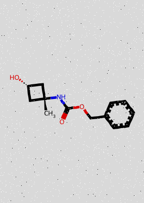 C[C@]1(NC(=O)OCc2ccccc2)C[C@@H](O)C1